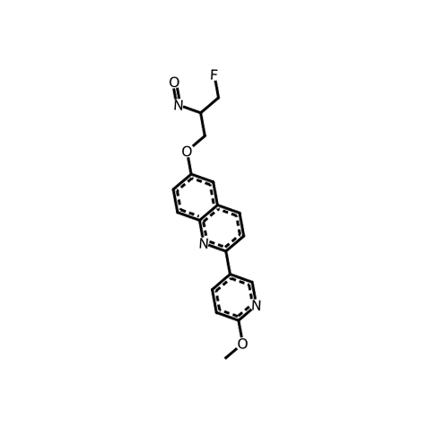 COc1ccc(-c2ccc3cc(OCC(CF)N=O)ccc3n2)cn1